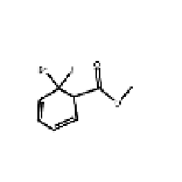 COC(=O)C1C=CC=CC1(Br)I